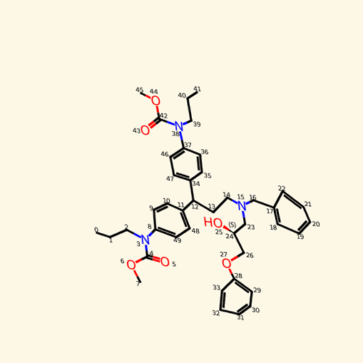 CCCN(C(=O)OC)c1ccc(C(CCN(Cc2ccccc2)C[C@H](O)COc2ccccc2)c2ccc(N(CCC)C(=O)OC)cc2)cc1